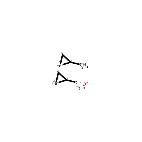 C[CH]1[CH2][Fe+]1.C[CH]1[CH2][Fe+]1.[O-2]